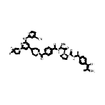 C/C(N)=C(/S)c1ccc([C@H](C)NC(=O)[C@@H]2CCCN2C(=O)[C@@H](NC(=O)c2ccc(C(=O)N3CCC(c4cc(Nc5cc(C#N)ccn5)nc(N5CCC(F)(F)C5)c4)CC3)cc2)C(C)(C)C)cc1